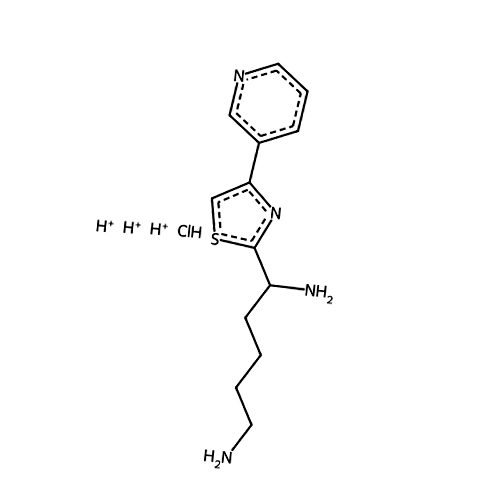 Cl.NCCCCC(N)c1nc(-c2cccnc2)cs1.[H+].[H+].[H+]